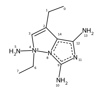 CCC1=C[N+](N)(CC)n2c(N)nc(N)c21